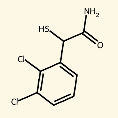 NC(=O)C(S)c1cccc(Cl)c1Cl